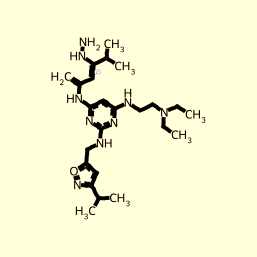 C=C(/C=C(\NN)C(C)C)Nc1cc(NCCN(CC)CC)nc(NCc2cc(C(C)C)no2)n1